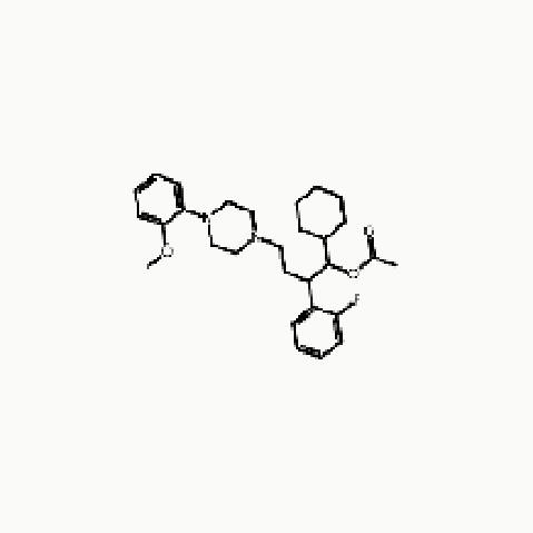 COc1ccccc1N1CCN(CCC(c2ccccc2F)C(OC(C)=O)C2CCCCC2)CC1